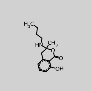 CCCCNC1(C)Cc2cccc(O)c2C(=O)O1